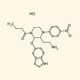 CCCC(=O)N1CCN(c2ccc([N+](=O)[O-])cc2)C(CCN)C1Oc1ccc2[nH]ccc2c1.Cl